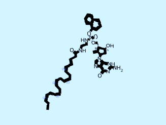 C=C1C(n2cnc3c(=O)nc(N)[nH]c32)C[C@H](O)[C@H]1COP(=O)(NCCNC(=O)CCC/C=C\C/C=C\C/C=C\C/C=C\C/C=C\CC)Oc1cccc2ccccc12